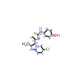 Cc1nc2ccc(Cl)cn2c1-c1csc(Nc2ccc(O)cc2)n1